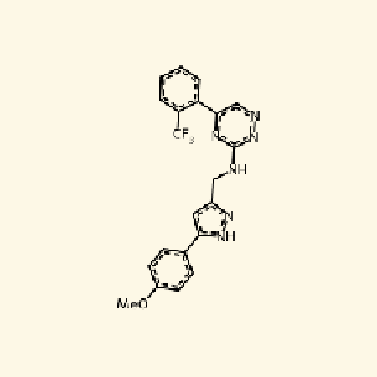 COc1ccc(-c2cc(CNc3nncc(-c4ccccc4C(F)(F)F)n3)n[nH]2)cc1